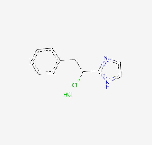 Cl.ClC(Cc1ccccc1)c1ncc[nH]1